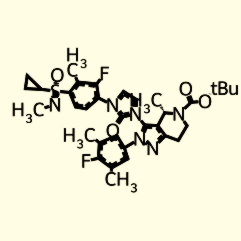 CN=S(=O)(c1ccc(-n2ccn(-c3c4c(nn3-c3cc(C)c(F)c(C)c3)CCN(C(=O)OC(C)(C)C)[C@H]4C)c2=O)c(F)c1C)C1CC1